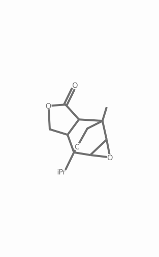 CC(C)C12CCC(C)(C3OC31)C1C(=O)OCC12